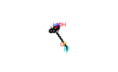 C[C@]12CC[C@@H]3c4cc[c]cc4C[C@@H](CCCCCCCCC[S+]([O-])CCCC(F)(F)C(F)(F)F)[C@H]3[C@@H]1CCC2NO